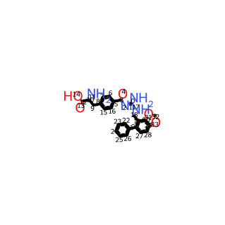 NC(=NC(=O)c1ccc(CC(N)C(=O)O)cc1)NCc1c(-c2ccccc2)ccc2c1OCO2